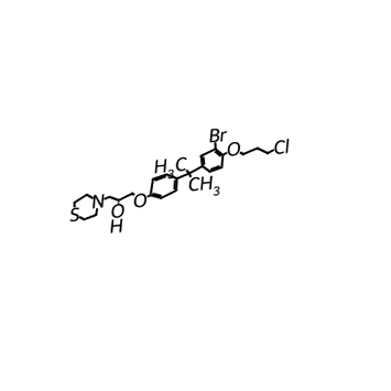 CC(C)(c1ccc(OC[C@H](O)CN2CCSCC2)cc1)c1ccc(OCCCCl)c(Br)c1